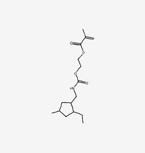 C=C(C)C(=O)OCCOC(=O)NCC1CC(C)CC1CC